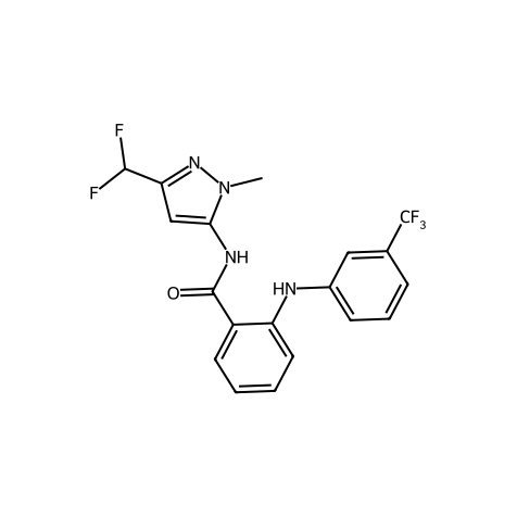 Cn1nc(C(F)F)cc1NC(=O)c1ccccc1Nc1cccc(C(F)(F)F)c1